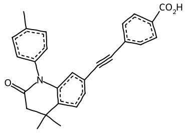 Cc1ccc(N2C(=O)CC(C)(C)c3ccc(C#Cc4ccc(C(=O)O)cc4)cc32)cc1